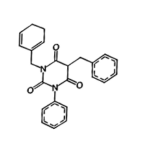 O=C1C(Cc2ccccc2)C(=O)N(c2ccccc2)C(=O)N1CC1=CCCC=C1